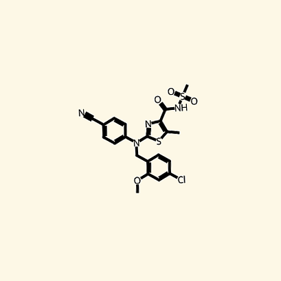 COc1cc(Cl)ccc1CN(c1ccc(C#N)cc1)c1nc(C(=O)NS(C)(=O)=O)c(C)s1